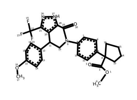 COC(=O)C1(c2ccc(N3CC(c4ccc(OC)cc4)c4c(C(F)(F)F)n[nH]c4C3=O)cc2)CCCC1